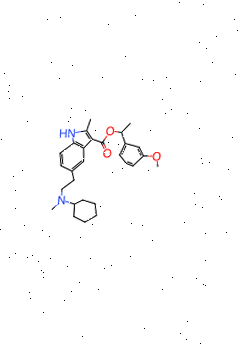 COc1cccc(C(C)OC(=O)c2c(C)[nH]c3ccc(CCN(C)C4CCCCC4)cc23)c1